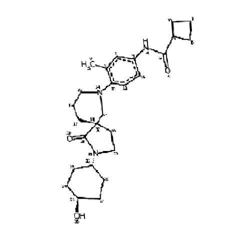 Cc1cc(NC(=O)C2CCC2)ccc1N1CCC[C@]2(CCN([C@H]3CC[C@H](O)CC3)C2=O)C1